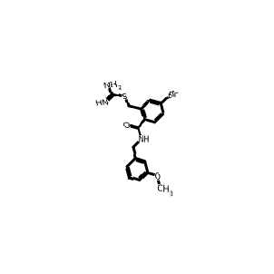 COc1cccc(CNC(=O)c2ccc(Br)cc2CSC(=N)N)c1